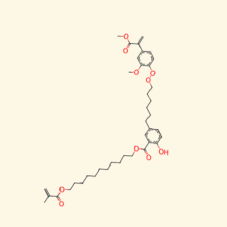 C=C(C)C(=O)OCCCCCCCCCCCOC(=O)c1cc(CCCCCCOOc2ccc(C(=C)C(=O)OC)cc2OC)ccc1O